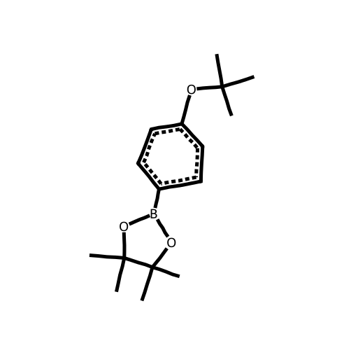 CC(C)(C)Oc1ccc(B2OC(C)(C)C(C)(C)O2)cc1